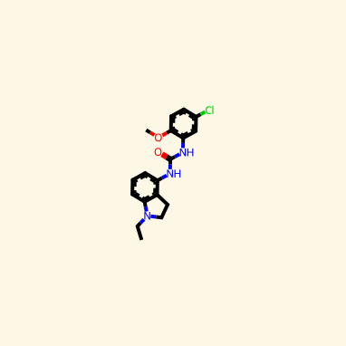 CCN1CCc2c(NC(=O)Nc3cc(Cl)ccc3OC)cccc21